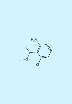 COC(C)c1c(N)cncc1Cl